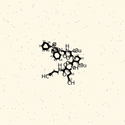 C#CCCNC(=O)C(=O)C(CCC#C)NC(=O)C1C(C(C)(C)C)CCN1C(=O)[C@@H](NC(=O)NC1(CS(=O)(=O)c2ccccc2)CCCCC1)C(C)(C)C